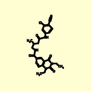 CCn1c(=O)c2cc(C(=O)NCC(C)CC(=O)Nc3ccc(C#N)c(Cl)c3)ncc2n(CC)c1=O